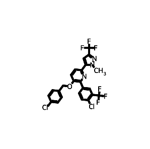 Cn1nc(C(F)(F)F)cc1-c1ccc(OCc2ccc(Cl)cc2)c(-c2ccc(Cl)c(C(F)(F)F)c2)n1